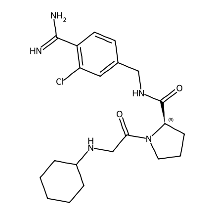 N=C(N)c1ccc(CNC(=O)[C@H]2CCCN2C(=O)CNC2CCCCC2)cc1Cl